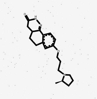 C[C@@H]1CCCN1CCCOc1ccc2c(c1)CCC1CC(=O)NN=C21